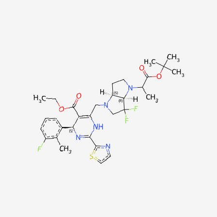 CCOC(=O)C1=C(CN2CC(F)(F)[C@H]3[C@@H]2CCN3C(C)C(=O)OC(C)(C)C)NC(c2nccs2)=N[C@H]1c1cccc(F)c1C